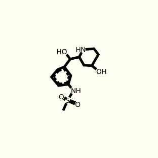 CS(=O)(=O)Nc1cccc(C(O)C2CC(O)CCN2)c1